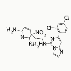 NC1=NC(N)C(CCNc2nc(-c3ccc(Cl)cc3Cl)cc3nccn23)([N+](=O)[O-])C=C1